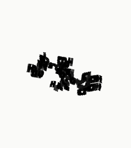 Cc1cc(SCC2=C(C(=O)O)N3C(=O)[C@@H](NC(=O)C(=NOCc4cc(Cl)c(O)c(O)c4Cl)c4csc(N)n4)[C@H]3SC2)n2nc(C(=O)NO)nc2n1